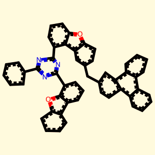 c1ccc(-c2nc(-c3cccc4c3oc3ccccc34)nc(-c3cccc4oc5ccc(Cc6ccc7c8ccccc8c8ccccc8c7c6)cc5c34)n2)cc1